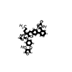 CCCc1c(Cc2ccc(-c3ccccc3-c3noc(=O)[nH]3)cc2)c(=O)n(C2CCC(O[C@@H]3COC[C@@H]3O)CC2)c2ncnn12